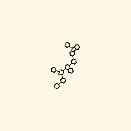 c1ccc(-c2cccc(-c3cc(-c4ccc(-c5cccc(-c6ccc7c(c6)c6ccccc6n7-c6ccccc6)c5)c5ccccc45)nc(-c4ccccc4)n3)c2)cc1